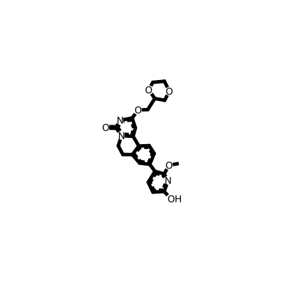 COc1nc(O)ccc1-c1ccc2c(c1)CCn1c-2cc(OCC2COCCO2)nc1=O